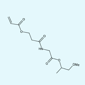 C=CC(=O)OCCC(=O)NCC(=O)OC(C)COC